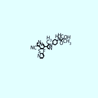 Cc1c(-c2cc(Sc3ncccc3F)c3c(C#N)cnn3c2)cnn1[C@H]1CC[C@H](NC(=O)C(C)(C)O)CC1